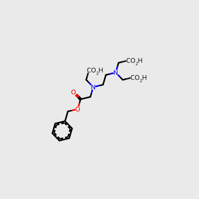 O=C(O)CN(CCN(CC(=O)O)CC(=O)OCc1ccccc1)CC(=O)O